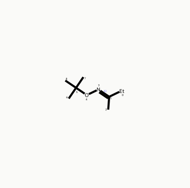 [CH2]C/C(C)=N/OC(C)(C)C